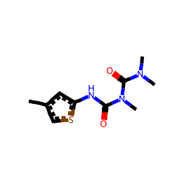 Cc1csc(NC(=O)N(C)C(=O)N(C)C)c1